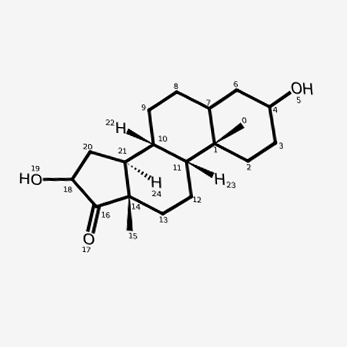 C[C@]12CCC(O)CC1CC[C@@H]1[C@H]2CC[C@]2(C)C(=O)C(O)C[C@@H]12